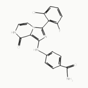 NC(=O)c1ccc(Nc2nc(-c3c(F)cccc3Cl)n3cc[nH]c(=O)c23)cc1